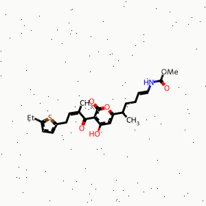 CCc1ccc(C/C=C(/C)C(=O)c2c(O)cc(C(C)CC/C=C/NC(=O)OC)oc2=O)s1